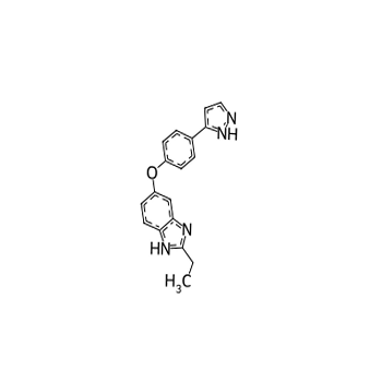 CCc1nc2cc(Oc3ccc(-c4ccn[nH]4)cc3)ccc2[nH]1